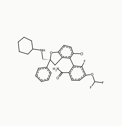 NC(=O)c1ccc(OC(F)F)c(F)c1-c1c(Cl)ccc2c1C[C@@](CNC1CCCCC1)(c1ccccc1)O2